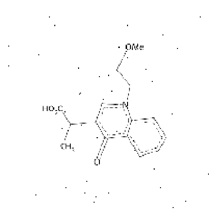 COCCn1cc(C(C)C(=O)O)c(=O)c2ccccc21